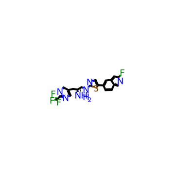 N[C@H](CNc1ncc(-c2ccc3cnc(F)cc3c2)s1)Cc1cnc(C(F)(F)F)nc1